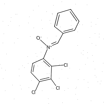 [O-][N+](=Cc1ccccc1)c1ccc(Cl)c(Cl)c1Cl